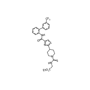 CCOC(=O)CNC(=S)N1CCC(c2nc(C(=O)Nc3ccccc3-c3cccc(C(F)(F)F)c3)cs2)CC1